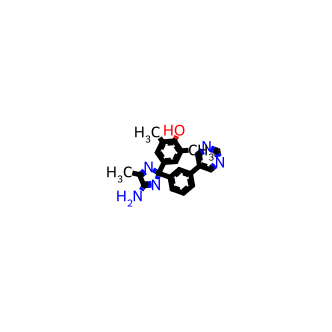 CC1=NC(c2cccc(-c3cncnc3)c2)(c2cc(C)c(O)c(C)c2)N=C1N